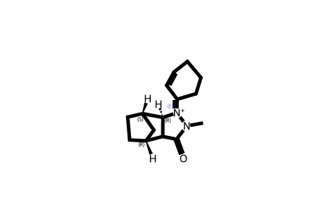 CN1C(=O)C2[C@@H]3CC[C@@H](C3)[C@H]2/[N+]1=C1\C=CCCC1